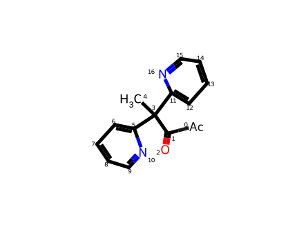 CC(=O)C(=O)C(C)(c1ccccn1)c1ccccn1